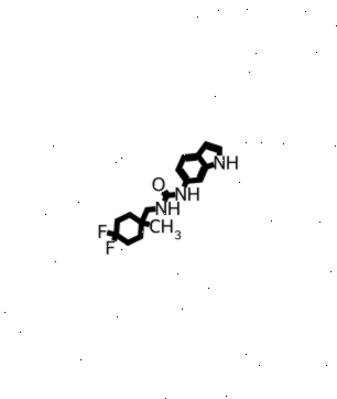 CC1(CNC(=O)Nc2ccc3cc[nH]c3c2)CCC(F)(F)CC1